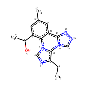 CCc1ncn2c3c(C(C)O)cc(C)cc3c3nncn3c12